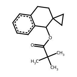 CC(C)(C)C(=O)OC1c2ccccc2CCC12CC2